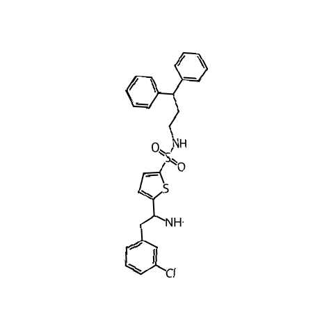 [NH]C(Cc1cccc(Cl)c1)c1ccc(S(=O)(=O)NCCC(c2ccccc2)c2ccccc2)s1